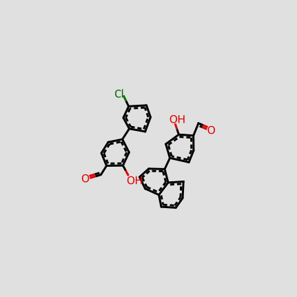 O=Cc1ccc(-c2cccc(Cl)c2)cc1O.O=Cc1ccc(-c2cccc3ccccc23)cc1O